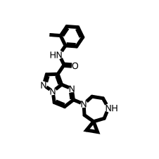 Cc1ccccc1NC(=O)c1cnn2ccc(N3CCNCC4(CC4)C3)nc12